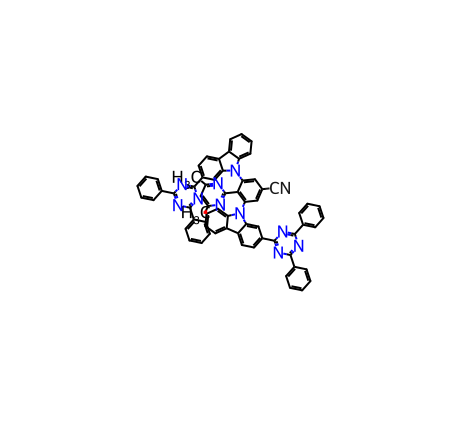 Cc1cc(C)nc(-c2c(-n3c4ccccc4c4ccc(-c5nc(-c6ccccc6)nc(-c6ccccc6)n5)cc43)cc(C#N)cc2-n2c3ccccc3c3ccc(-c4nc(-c5ccccc5)nc(-c5ccccc5)n4)cc32)n1